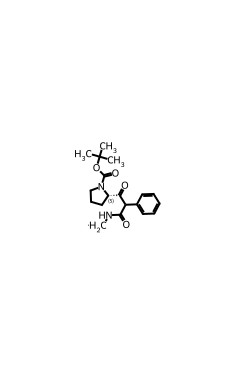 [CH2]NC(=O)C(C(=O)[C@@H]1CCCN1C(=O)OC(C)(C)C)c1ccccc1